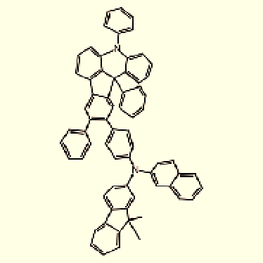 CC1(C)c2ccccc2-c2ccc(N(c3ccc(-c4cc5c(cc4-c4ccccc4)-c4cccc6c4C5(c4ccccc4)c4ccccc4N6c4ccccc4)cc3)c3ccc4ccccc4c3)cc21